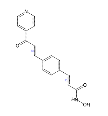 O=C(/C=C/c1ccc(/C=C/C(=O)c2ccncc2)cc1)NO